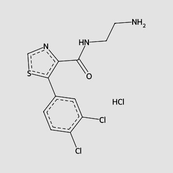 Cl.NCCNC(=O)c1ncsc1-c1ccc(Cl)c(Cl)c1